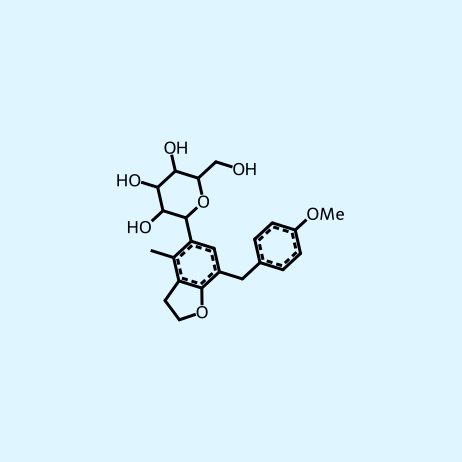 COc1ccc(Cc2cc(C3OC(CO)C(O)C(O)C3O)c(C)c3c2OCC3)cc1